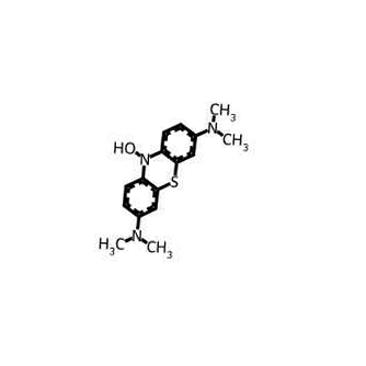 CN(C)c1ccc2c(c1)Sc1cc(N(C)C)ccc1N2O